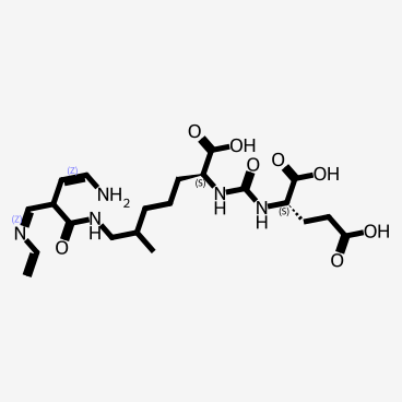 C=C/N=C\C(/C=C\N)C(=O)NCC(C)CCC[C@H](NC(=O)N[C@@H](CCC(=O)O)C(=O)O)C(=O)O